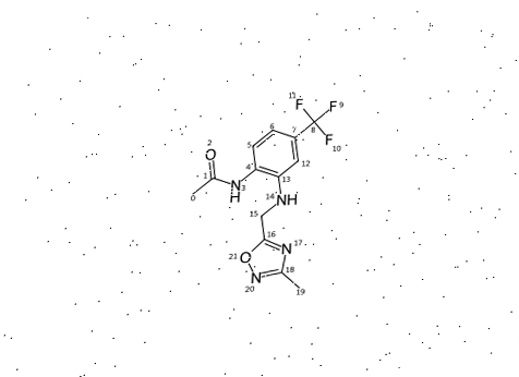 CC(=O)Nc1ccc(C(F)(F)F)cc1NCc1nc(C)no1